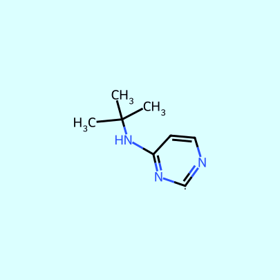 CC(C)(C)Nc1ccn[c]n1